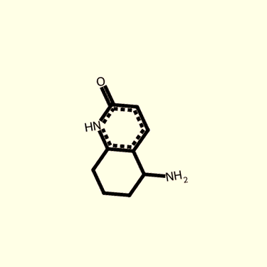 NC1CCCc2[nH]c(=O)ccc21